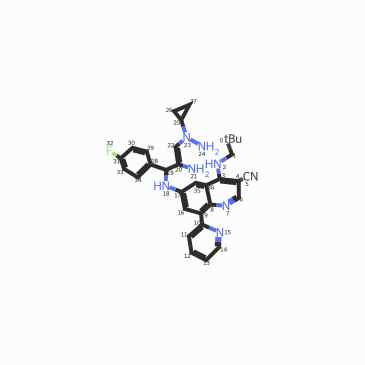 CC(C)(C)CNc1c(C#N)cnc2c(-c3ccccn3)cc(NC(/C(N)=C/N(N)C3CC3)c3ccc(F)cc3)cc12